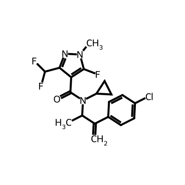 C=C(c1ccc(Cl)cc1)C(C)N(C(=O)c1c(C(F)F)nn(C)c1F)C1CC1